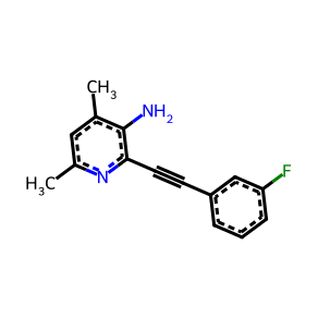 Cc1cc(C)c(N)c(C#Cc2cccc(F)c2)n1